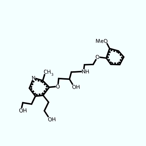 COc1ccccc1OCCNCC(O)COc1c(C)ncc(CCO)c1CCO